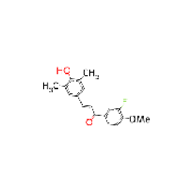 COc1ccc(C(=O)C=Cc2cc(C)c(O)c(C)c2)cc1F